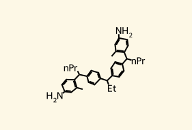 CCCC(c1ccc(C(CC)c2ccc(C(CCC)c3ccc(N)cc3C)cc2)cc1)c1ccc(N)cc1C